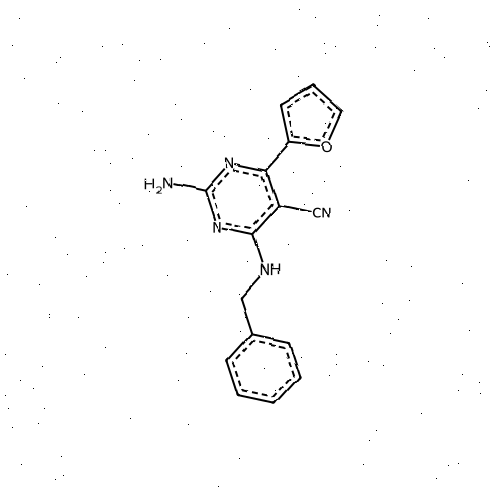 N#Cc1c(NCc2ccccc2)nc(N)nc1-c1ccco1